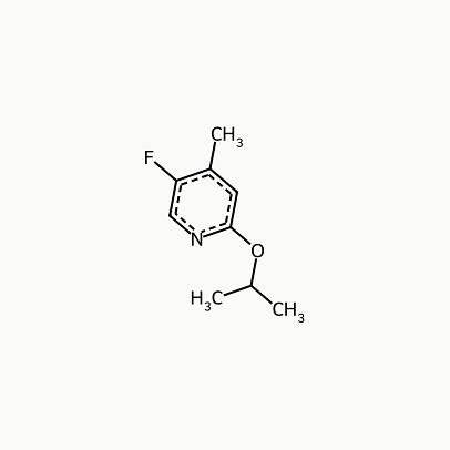 Cc1cc(OC(C)C)ncc1F